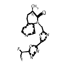 C[C@@H]1Cc2ccncc2N(Cc2ncc(-c3nnc(C(F)F)o3)s2)C1=O